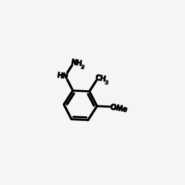 COc1cccc(NN)c1C